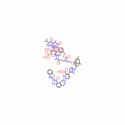 CNC(=O)CCN(CCOC12CC3(C)CC(C)(CC(Cn4ncc(-c5ccc(N6CCc7cccc(C(=O)Nc8nc9ccccc9s8)c7C6)nc5C(=O)O)c4C)(C3)C1)C2)C(=O)OCc1ccc(NC(=O)C(C)NC(=O)C(N)C(C)C)cc1CC[C@@H]1O[C@H](C(=O)O)[C@@H](O)[C@H](O)[C@H]1O